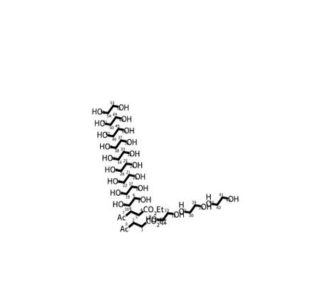 CCOC(=O)CCC(C)=O.CCOC(=O)CCC(C)=O.OCCO.OCCO.OCCO.OCCO.OCCO.OCCO.OCCO.OCCO.OCCO.OCCO.OCCO.OCCO